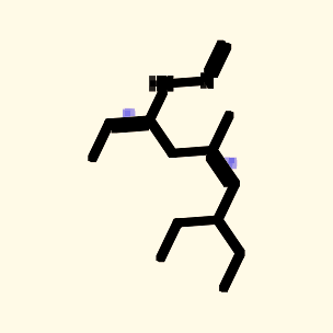 C=NN/C(=C/C)C/C(C)=C\C(CC)CC